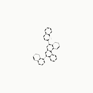 C1=Cc2cccc(-c3cc4cc(-c5ccc6ccccc6n5)c5c(c4c4ccccc34)C=CCC5)c2CC1